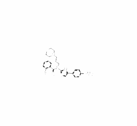 COc1ccc(-c2csc(N(CCCN3CCOCC3)C(=O)c3ccccc3F)n2)cc1